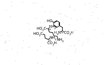 NCCCC[C@H](N)C(=O)O.N[C@@H](CCC(=O)O)C(=O)O.N[C@@H](Cc1ccc(O)cc1)C(=O)O